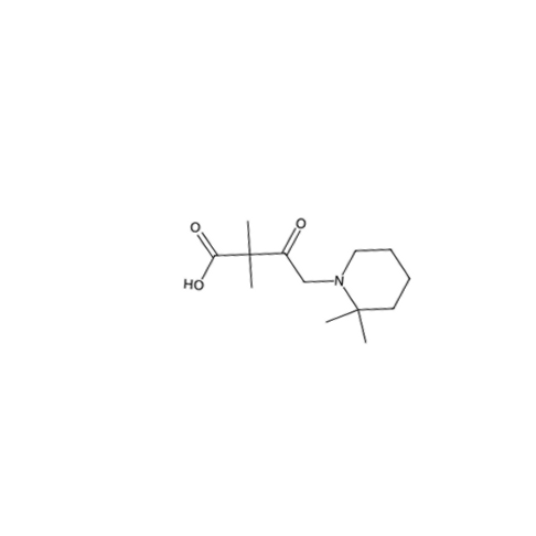 CC(C)(C(=O)O)C(=O)CN1CCCCC1(C)C